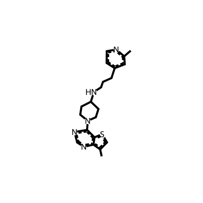 Cc1cc(CCCNC2CCN(c3ncnc4c(C)csc34)CC2)ccn1